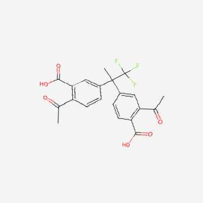 CC(=O)c1cc(C(C)(c2ccc(C(C)=O)c(C(=O)O)c2)C(F)(F)F)ccc1C(=O)O